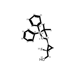 CC(C)(C)[Si](OC[C@H]1C[C@]1(F)CO)(c1ccccc1)c1ccccc1